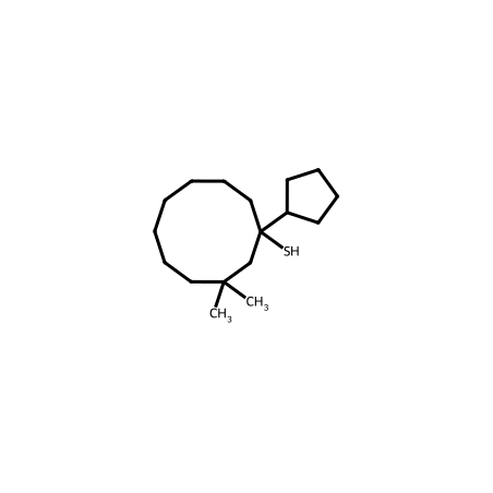 CC1(C)CCCCCCCC(S)(C2CCCC2)C1